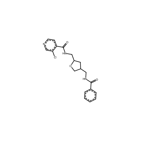 O=C(NCC1COC(CNC(=O)c2ccncc2Cl)C1)c1ccccc1